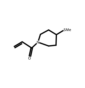 C=CC(=O)N1CCC(SC)CC1